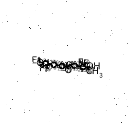 CCOc1ccc(C2=CCC(C3CCC(C(=O)OC4CCC(c5ccc(C(C)O)c(F)c5F)CC4)CC3)CC2)c(F)c1F